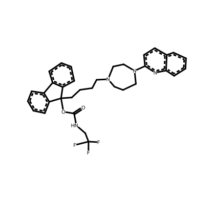 O=C(NCC(F)(F)F)OC1(CCCCN2CCCN(c3ccc4ccccc4n3)CC2)c2ccccc2-c2ccccc21